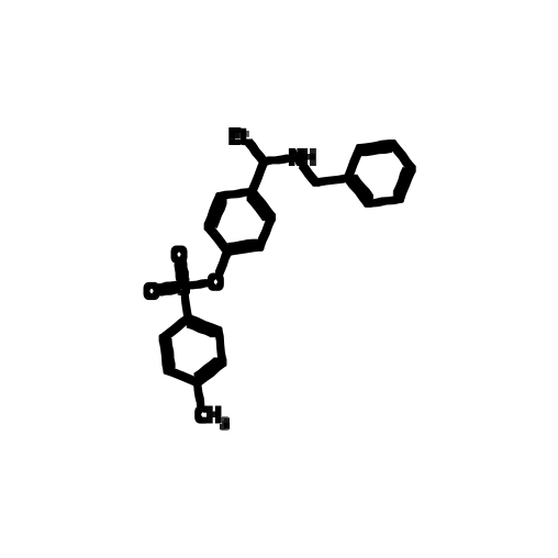 CCC(NCc1ccccc1)c1ccc(OS(=O)(=O)c2ccc(C)cc2)cc1